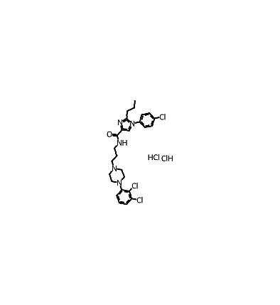 CCCc1nc(C(=O)NCCCN2CCN(c3cccc(Cl)c3Cl)CC2)cn1-c1ccc(Cl)cc1.Cl.Cl